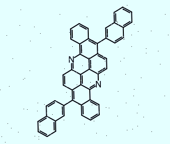 c1ccc2cc(-c3c4ccccc4c4nc5ccc6c(-c7ccc8ccccc8c7)c7ccccc7c7nc8ccc3c4c8c5c67)ccc2c1